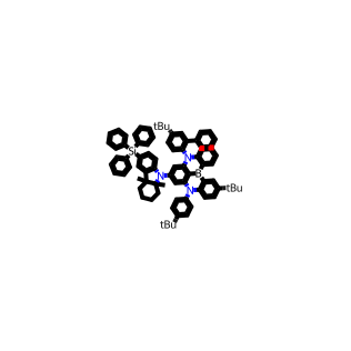 CC(C)(C)c1ccc(N2c3ccc(C(C)(C)C)cc3B3c4ccccc4N(c4ccc(C(C)(C)C)cc4-c4ccccc4)c4cc(N5c6ccc([Si](c7ccccc7)(c7ccccc7)c7ccccc7)cc6C6(C)CCCCC56C)cc2c43)cc1